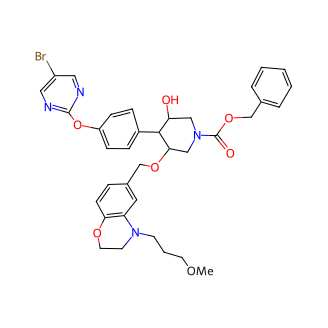 COCCCN1CCOc2ccc(COC3CN(C(=O)OCc4ccccc4)CC(O)C3c3ccc(Oc4ncc(Br)cn4)cc3)cc21